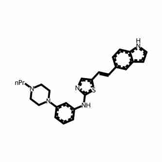 CCCN1CCN(c2cccc(Nc3ncc(C=Cc4ccc5[nH]ccc5c4)s3)c2)CC1